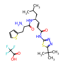 CC(C)C[C@@H](C=CC(=O)Nc1nnc(C(C)(C)C)s1)NC(=O)[C@@H](N)Cc1cccs1.O=C(O)C(F)(F)F